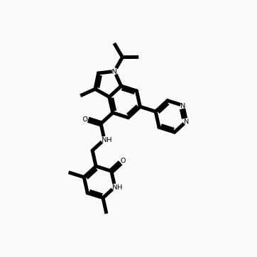 Cc1cc(C)c(CNC(=O)c2cc(-c3ccnnc3)cc3c2c(C)cn3C(C)C)c(=O)[nH]1